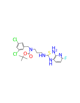 CC(C)(C)OC(=O)N(CCCNC(=S)Nc1ccc(F)nc1N)Cc1cc(Cl)cc(Cl)c1